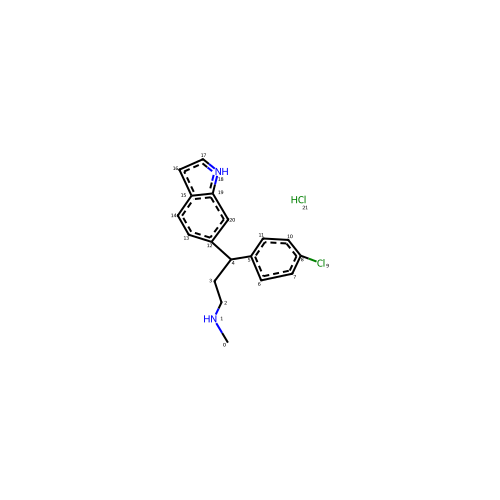 CNCCC(c1ccc(Cl)cc1)c1ccc2cc[nH]c2c1.Cl